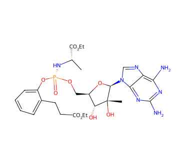 CCOC(=O)CCc1ccccc1O[P@@](=O)(N[C@@H](C)C(=O)OCC)OC[C@H]1O[C@@H](n2cnc3c(N)nc(N)nc32)[C@](C)(O)[C@@H]1O